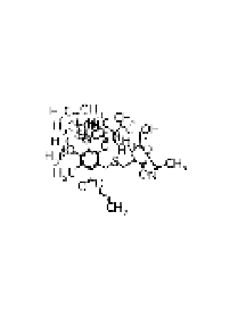 C=CCOC(=O)c1c(C)c(OC)c(O[SiH](C)C(C)(C)C(C)C)c(O[SiH](C)C(C)(C)C(C)C)c1CSCC(NC(=O)CO)c1nc(C)no1